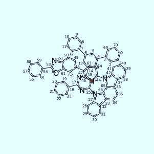 c1ccc(-c2cc(-c3ccccc3)cc(-c3nc(-c4ccccc4)nc(-n4c5ccccc5c5ccc6c7ccccc7n(-c7ccc(-c8ccc9nc(-c%10ccccc%10)oc9c8)cc7)c6c54)n3)c2)cc1